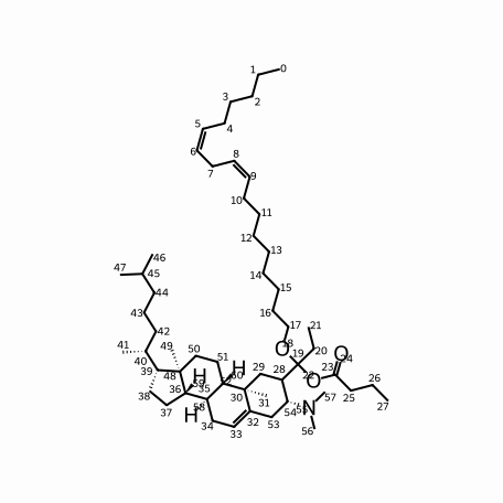 CCCCC/C=C\C/C=C\CCCCCCCCOC(CC)(OC(=O)CCC)C1C[C@@]2(C)C(=CC[C@H]3[C@@H]4CC[C@H]([C@H](C)CCCC(C)C)[C@@]4(C)CC[C@@H]32)C[C@H]1N(C)C